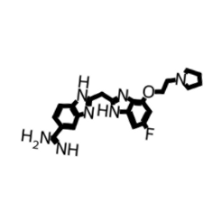 N=C(N)c1ccc2[nH]c(Cc3nc4c(OCCN5CCCC5)cc(F)cc4[nH]3)nc2c1